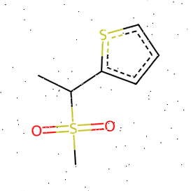 CC(c1cccs1)S(C)(=O)=O